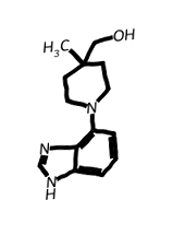 CC1(CO)CCN(c2cccc3[nH]cnc23)CC1